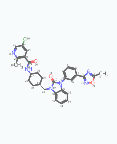 Cc1nc(-c2cccc(-n3c(=O)n(C[C@H]4CC[C@H](NC(=O)c5cc(Cl)cnc5C)CC4)c4ccccc43)c2)no1